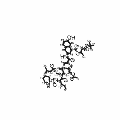 CC[C@H](C)[C@H](NC(=O)[C@H]1CCCCN1C)C(=O)N(COC(=O)CC(C)C)[C@H](C[C@@H](OC(C)=O)c1nc(C(=O)N[C@H]2Cc3ccc(O)cc3[C@H](C(=O)OC(C)CNOC(C)(C)C)C2)cs1)C(C)C